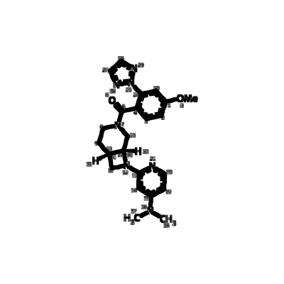 COc1ccc(C(=O)N2CC[C@H]3CN(c4cc(N(C)C)ccn4)[C@H]3C2)c(-n2nccn2)c1